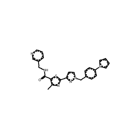 Cc1nc(-c2ccn(Cc3ccc(-n4cccc4)cc3)n2)sc1C(=O)NCc1cccnc1